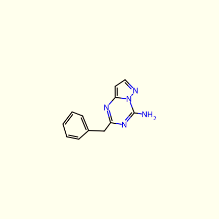 Nc1nc(Cc2ccccc2)nc2ccnn12